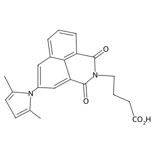 Cc1ccc(C)n1-c1cc2c3c(cccc3c1)C(=O)N(CCCC(=O)O)C2=O